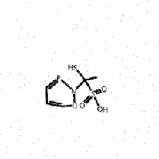 CC(S)(N1OC=CC=P1)S(=O)(=O)O